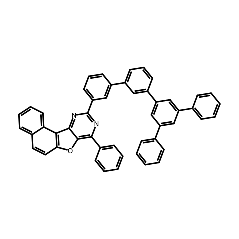 c1ccc(-c2cc(-c3ccccc3)cc(-c3cccc(-c4cccc(-c5nc(-c6ccccc6)c6oc7ccc8ccccc8c7c6n5)c4)c3)c2)cc1